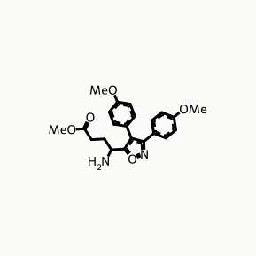 COC(=O)CCC(N)c1onc(-c2ccc(OC)cc2)c1-c1ccc(OC)cc1